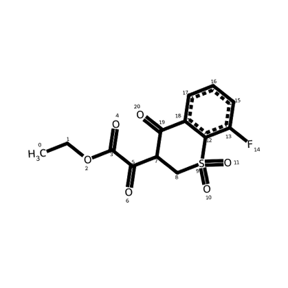 CCOC(=O)C(=O)C1CS(=O)(=O)c2c(F)cccc2C1=O